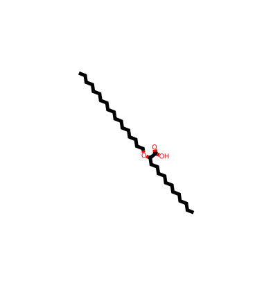 CCCCCCCCCCCCCCCCCCOC(CCCCCCCCCCCC)C(=O)O